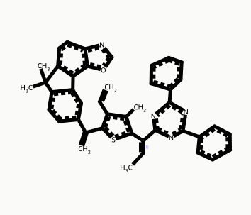 C=Cc1c(C(=C)c2ccc3c(c2)-c2c(ccc4ncoc24)C3(C)C)sc(/C(=C\C)c2nc(-c3ccccc3)nc(-c3ccccc3)n2)c1C